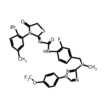 Cc1ccc(C(C)C)c(N2C(=O)CSC2=NC(=O)Nc2ccc(CN(C)c3ncn(-c4ccc(OC(F)(F)F)cc4)n3)cc2F)c1